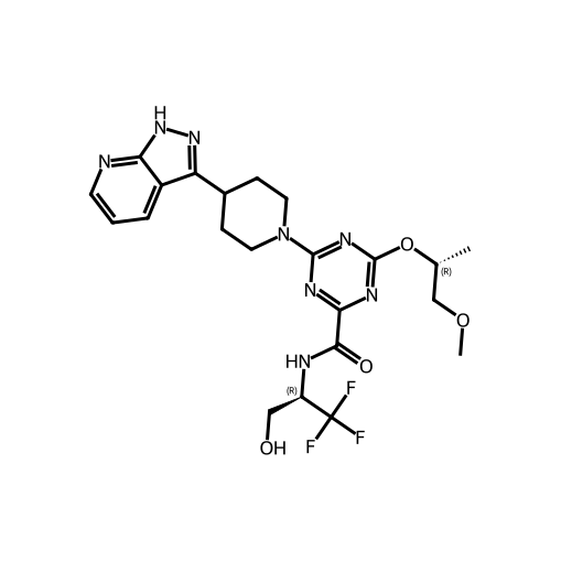 COC[C@@H](C)Oc1nc(C(=O)N[C@H](CO)C(F)(F)F)nc(N2CCC(c3n[nH]c4ncccc34)CC2)n1